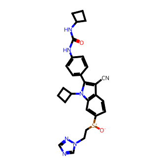 N#Cc1c(-c2ccc(NC(=O)NC3CCC3)cc2)n(C2CCC2)c2cc([S+]([O-])CCn3cncn3)ccc12